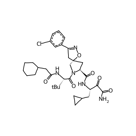 CC(C)(C)[C@H](NC(=O)CC1CCCCC1)C(=O)N1C[C@@]2(CC(c3cccc(Cl)c3)=NO2)C[C@H]1C(=O)N[C@@H](CC1CC1)C(=O)C(N)=O